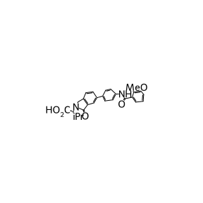 COc1ccccc1C(=O)Nc1ccc(-c2ccc3c(c2)C(=O)N([C@H](C(=O)O)C(C)C)C3)cc1